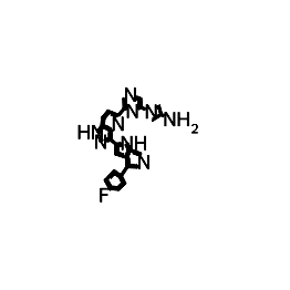 NC1CN(c2cncc(-c3ccc4[nH]nc(-c5cc6c(-c7ccc(F)cc7)cncc6[nH]5)c4n3)n2)C1